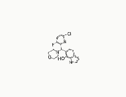 Oc1c(C(c2nc(Cl)ccc2F)N2CCOCC2)ccc2scnc12